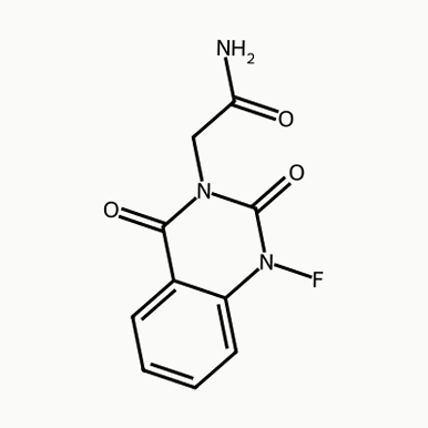 NC(=O)Cn1c(=O)c2ccccc2n(F)c1=O